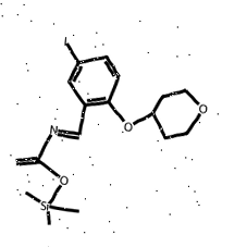 C=C(/N=C/c1cc(I)ccc1OC1CCOCC1)O[Si](C)(C)C